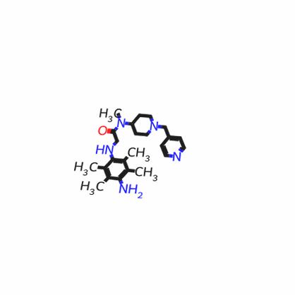 Cc1c(C)c(NCC(=O)N(C)C2CCN(Cc3ccncc3)CC2)c(C)c(C)c1N